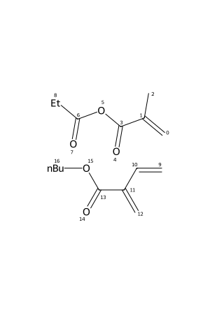 C=C(C)C(=O)OC(=O)CC.C=CC(=C)C(=O)OCCCC